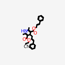 CC1=C(C(=O)OCC=Cc2ccccc2)C(CC=Cc2ccccc2)C(C(=O)OCCC#N)=C(C)N1